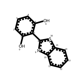 Oc1cccc(O)c1-c1nc2ccccc2s1